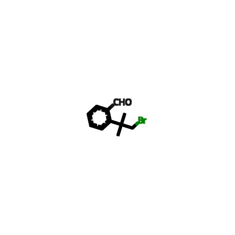 CC(C)(CBr)c1ccccc1C=O